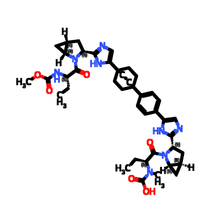 CC[C@H](NC(=O)OC)C(=O)N1[C@@H]2C[C@@H]2C[C@H]1c1ncc(C23CCC(c4ccc(-c5cnc([C@@H]6C[C@H]7C[C@H]7N6C(=O)[C@H](CC)N(C)C(=O)O)[nH]5)cc4)(CC2)CC3)[nH]1